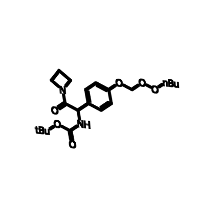 CCCCOOCOc1ccc(C(NC(=O)OC(C)(C)C)C(=O)N2CCC2)cc1